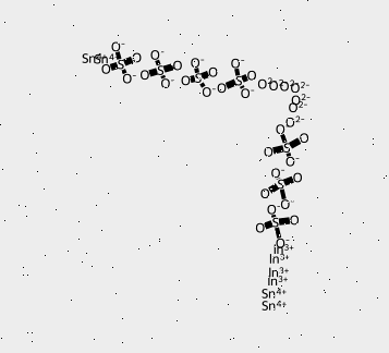 O=S(=O)([O-])[O-].O=S(=O)([O-])[O-].O=S(=O)([O-])[O-].O=S(=O)([O-])[O-].O=S(=O)([O-])[O-].O=S(=O)([O-])[O-].O=S(=O)([O-])[O-].[In+3].[In+3].[In+3].[In+3].[O-2].[O-2].[O-2].[O-2].[O-2].[O-2].[O-2].[Sn+4].[Sn+4].[Sn+4].[Sn+4]